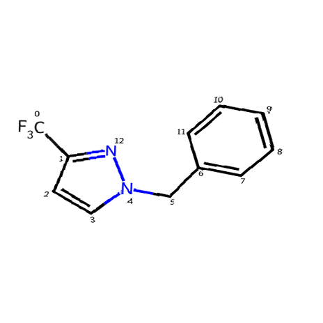 FC(F)(F)c1ccn(Cc2cc[c]cc2)n1